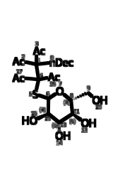 CCCCCCCCCCC(C(C)=O)(C(C)=O)C(SC1O[C@H](CO)[C@@H](O)[C@H](O)[C@H]1O)(C(C)=O)C(C)=O